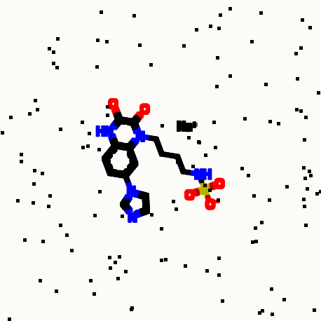 O=c1[nH]c2ccc(-n3ccnc3)cc2n(CCCCNS(=O)(=O)[O-])c1=O.[Na+]